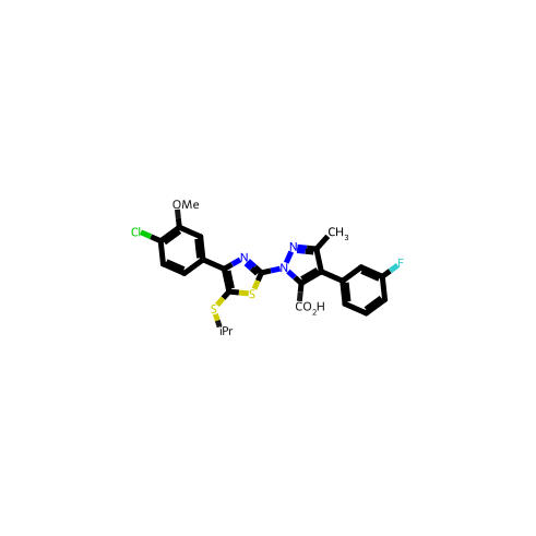 COc1cc(-c2nc(-n3nc(C)c(-c4cccc(F)c4)c3C(=O)O)sc2SC(C)C)ccc1Cl